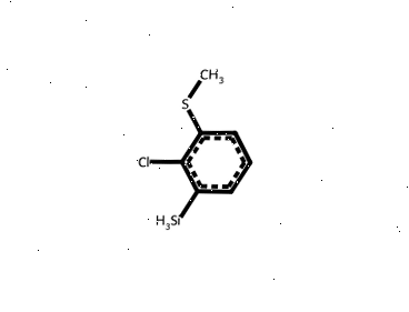 CSc1cccc([SiH3])c1Cl